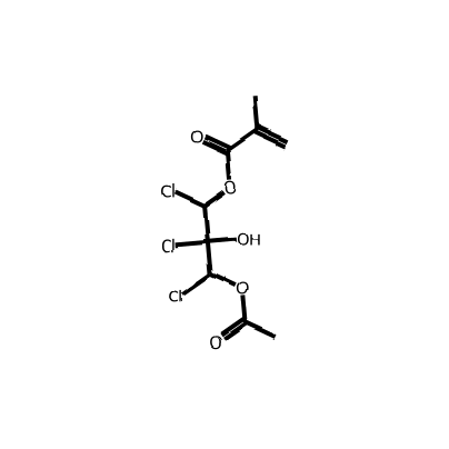 C=C(C)C(=O)OC(Cl)C(O)(Cl)C(Cl)OC(C)=O